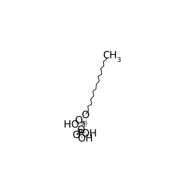 CCCCCCCCCCCCCCCCOC[C@H](COP(=O)(O)O)OO